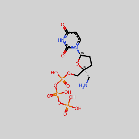 NC[C@@]1(COP(=O)(O)OP(=O)(O)OP(=O)(O)O)CC[C@H](n2ccc(=O)[nH]c2=O)O1